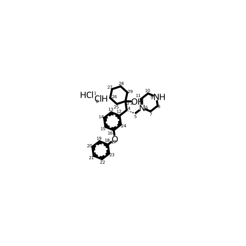 Cl.Cl.OC1([C@H](CN2CCNCC2)c2cccc(Oc3ccccc3)c2)CCCCC1